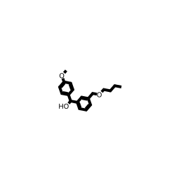 CCCCOCc1cccc(C(O)c2ccc(OC)cc2)c1